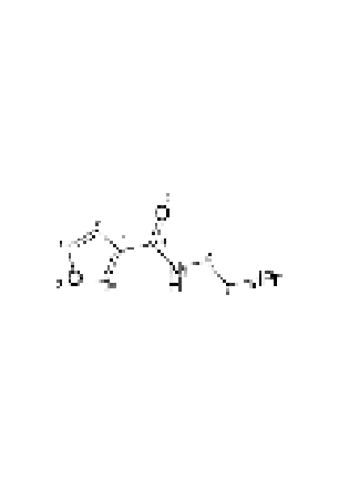 CC(C)CCNC(=O)c1ccoc1